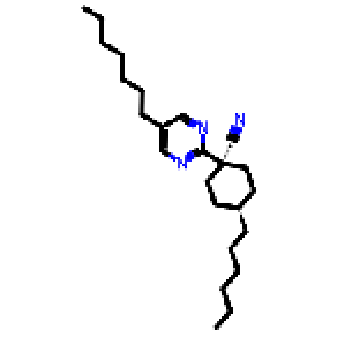 CCCCCCCc1cnc([C@]2(C#N)CC[C@H](CCCCCC)CC2)nc1